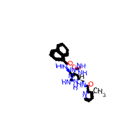 Cc1cccnc1C(=O)NC[C@@H]1NC(=N)N2CC(NC(=O)c3cccc4c3CCCC4)[C@@H](O)[C@@]23NC(=N)N[C@@H]13